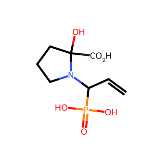 C=CC(N1CCCC1(O)C(=O)O)P(=O)(O)O